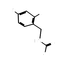 CC(=O)NCc1ccc(F)cc1Cl